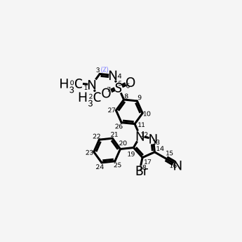 CN(C)/C=N\S(=O)(=O)c1ccc(-n2nc(C#N)c(Br)c2-c2ccccc2)cc1